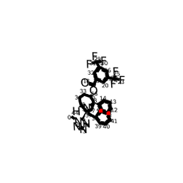 Cn1nnnc1[C@@H]1C[C@@]2(c3ccccc3)[C@H](OC(=O)c3cc(C(F)(F)F)cc(C(F)(F)F)c3)CC[C@@H]1N2Cc1ccccc1